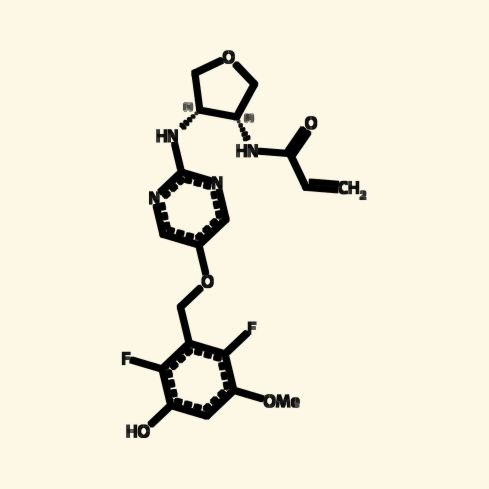 C=CC(=O)N[C@H]1COC[C@H]1Nc1ncc(OCc2c(F)c(O)cc(OC)c2F)cn1